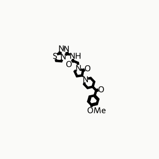 COc1ccc(C(=O)C2CCN([C@H]3CCN(CC(=O)Nc4nnc5n4CCS5)C3=O)CC2)cc1